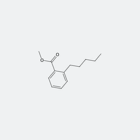 CCCCCc1ccccc1C(=O)OC